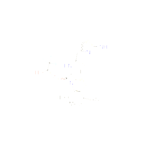 COC(OC(C)=O)C1=C(C(=O)O)N2C(=O)[C@H](NC(=O)Cc3csc(N)n3)[C@H]2SC1.O=C(O)C(F)(F)F